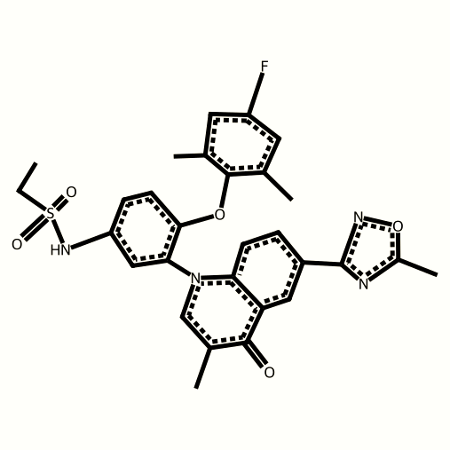 CCS(=O)(=O)Nc1ccc(Oc2c(C)cc(F)cc2C)c(-n2cc(C)c(=O)c3cc(-c4noc(C)n4)ccc32)c1